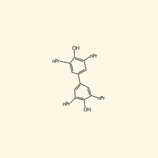 CCCc1cc(-c2cc(CCC)c(O)c(CCC)c2)cc(CCC)c1O